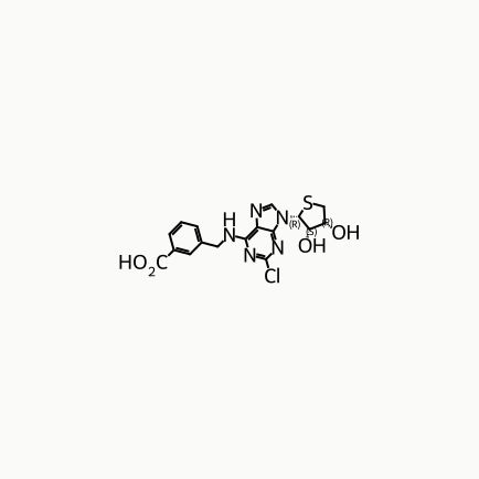 O=C(O)c1cccc(CNc2nc(Cl)nc3c2ncn3[C@@H]2SC[C@H](O)[C@@H]2O)c1